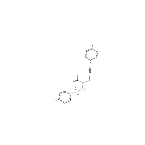 Cc1ccc(S(=O)(=O)NC(CC#Cc2ccc(Cl)cc2)C(=O)O)cc1